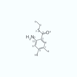 CCSC(=O)c1cc(C)c(I)cc1N